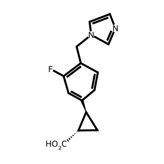 O=C(O)[C@H]1C[C@@H]1c1ccc(Cn2ccnc2)c(F)c1